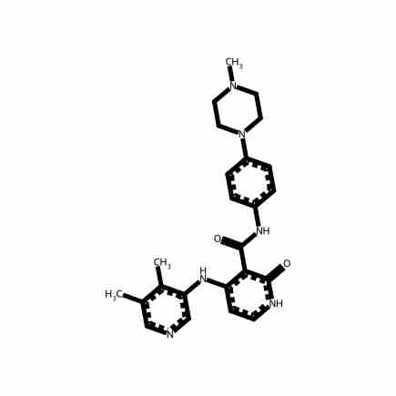 Cc1cncc(Nc2cc[nH]c(=O)c2C(=O)Nc2ccc(N3CCN(C)CC3)cc2)c1C